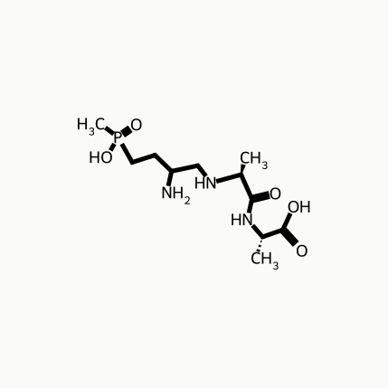 C[C@H](NC(=O)[C@H](C)NCC(N)CCP(C)(=O)O)C(=O)O